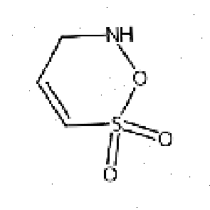 O=S1(=O)C=CCNO1